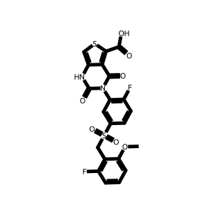 COc1cccc(F)c1CS(=O)(=O)c1ccc(F)c(-n2c(=O)[nH]c3csc(C(=O)O)c3c2=O)c1